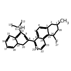 CC1Cc2ccc3c(C4=CC([SiH](I)I)=C5C=CC=CC5C4)nccc3c2C(F)C1